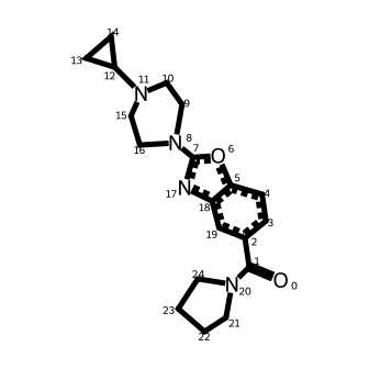 O=C(c1ccc2oc(N3CCN(C4CC4)CC3)nc2c1)N1CCCC1